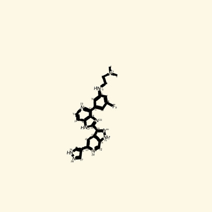 CN(C)CCNc1cc(F)cc(-c2nccc3[nH]c(-c4n[nH]c5cnc(-c6cn[nH]c6)cc45)nc23)c1